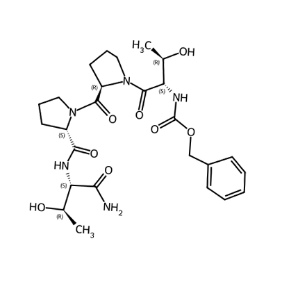 C[C@@H](O)[C@H](NC(=O)[C@@H]1CCCN1C(=O)[C@H]1CCCN1C(=O)[C@@H](NC(=O)OCc1ccccc1)[C@@H](C)O)C(N)=O